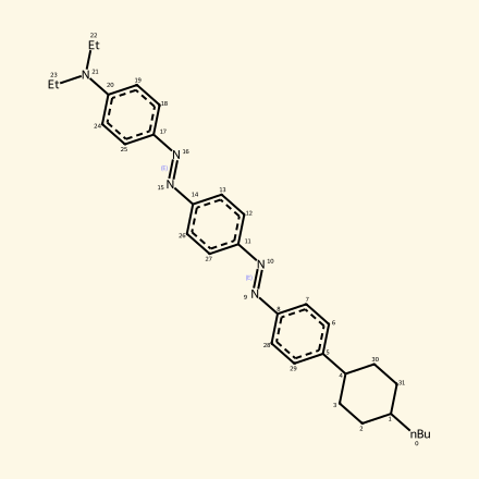 CCCCC1CCC(c2ccc(/N=N/c3ccc(/N=N/c4ccc(N(CC)CC)cc4)cc3)cc2)CC1